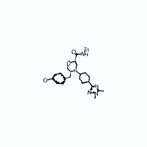 CCNC(=O)[C@H]1CN(C2CCC(c3nc(C)n(C)n3)CC2)[C@@H](Cc2ccc(Cl)cc2)CO1